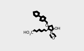 O=C(O)CCC=CCC[C@@H]1[C@@H](N2CCOCC2)[C@@H](O)C[C@@H]1OCc1ccc(-c2ccccc2)cc1